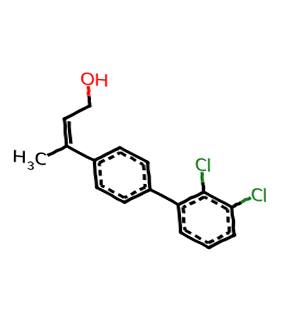 C/C(=C/CO)c1ccc(-c2cccc(Cl)c2Cl)cc1